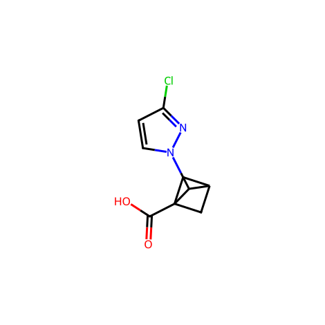 O=C(O)C12CC(C1)C2n1ccc(Cl)n1